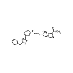 NC(=O)c1cn(C[C@@H](O)CCCOc2cccc(-c3csc(Cc4ccccc4)n3)c2)cn1